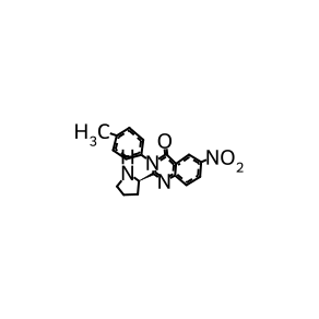 Cc1ccc(-n2c([C@H]3CCCN3)nc3ccc([N+](=O)[O-])cc3c2=O)cc1